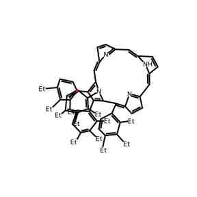 CCc1ccc(-c2c(-c3ccc(CC)c(CC)c3CC)c3c(-c4ccc(CC)c(CC)c4CC)c4nc(cc5ccc(cc6nc(cc2n3-c2ccc(CC)c(CC)c2CC)C=C6)[nH]5)C=C4)c(CC)c1CC